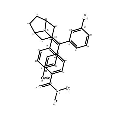 CCN(CC)C(=O)c1ccc(C(=C2CC3CCC(C2)N3Cc2ccc(OC)cc2)c2cccc(O)c2)cc1